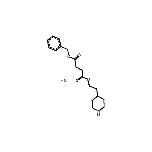 Cl.O=C(CCC(=O)OCc1ccccc1)OCCC1CCNCC1